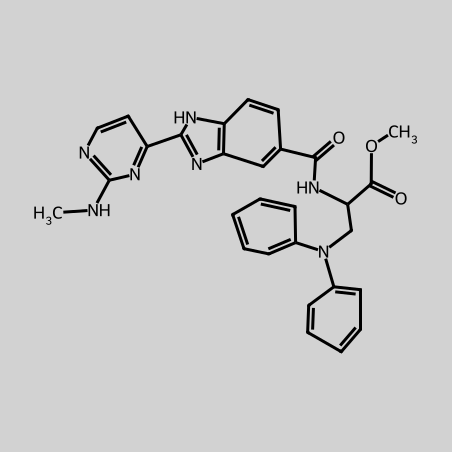 CNc1nccc(-c2nc3cc(C(=O)NC(CN(c4ccccc4)c4ccccc4)C(=O)OC)ccc3[nH]2)n1